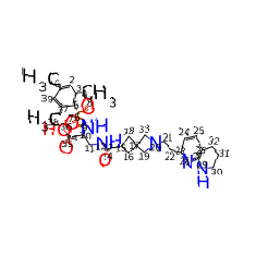 Cc1cc(C)c(S(=O)(=O)NC(CNC(=O)C2CC3(C2)CN(CCc2ccc4c(n2)NCCC4)C3)C(=O)O)c(C)c1